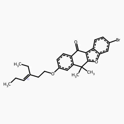 CC/C=C(\CC)CCOc1ccc2c(c1)C(C)(C)c1oc3cc(Br)ccc3c1C2=O